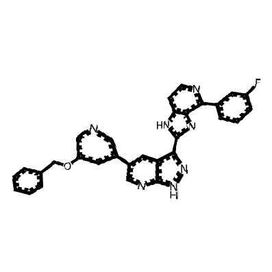 Fc1cccc(-c2nccc3[nH]c(-c4n[nH]c5ncc(-c6cncc(OCc7ccccc7)c6)cc45)nc23)c1